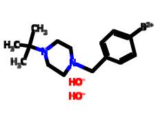 [B+2]c1ccc(CN2CCN(C(C)(C)C)CC2)cc1.[OH-].[OH-]